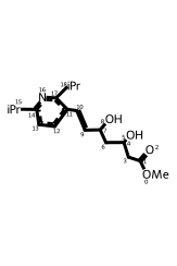 COC(=O)CC(O)CC(O)C=Cc1ccc(C(C)C)nc1C(C)C